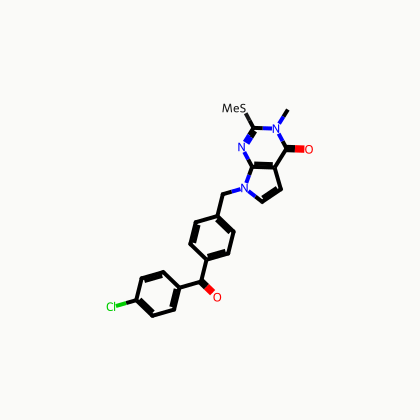 CSc1nc2c(ccn2Cc2ccc(C(=O)c3ccc(Cl)cc3)cc2)c(=O)n1C